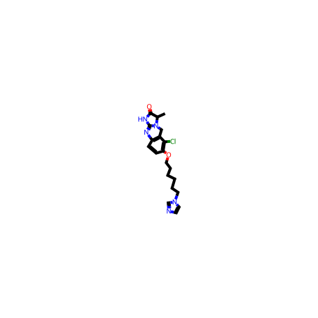 CC1C(=O)NC2=Nc3ccc(OCCCCCCn4ccnc4)c(Cl)c3CN21